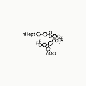 CCCCCCCCC1CCC([C@]2(c3ccc(OC(F)F)cc3)CC[C@@H](C(=O)O)CC2)CC1.CCCCCCC[C@H]1CC[C@H]([C@H]2CC[C@H](C(=O)Oc3ccc(OC(F)F)cc3)CC2)CC1